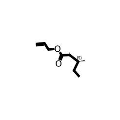 C=CCOC(=O)[CH][C@H](C)CC